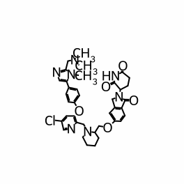 CN(C)Cc1ncc(-c2ccc(Oc3cc(Cl)cnc3CN3CCCCC3COc3ccc4c(c3)CN(C3CCC(=O)NC3=O)C4=O)cc2)n1C